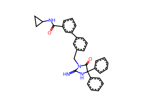 N=C1NC(c2ccccc2)(c2ccccc2)C(=O)N1Cc1cccc(-c2cccc(C(=O)NC3CC3)c2)c1